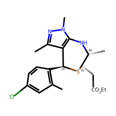 CCOC(=O)C[C@@H]1S[C@@H](c2ccc(Cl)cc2C)c2c(C)nn(C)c2N[C@@H]1C